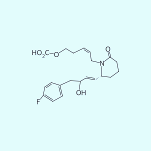 O=C(O)OCC/C=C\CN1C(=O)CCC[C@@H]1/C=C/C(O)Cc1ccc(F)cc1